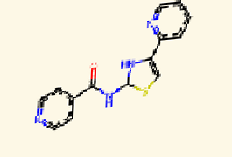 O=C(NC1NC(c2ccccn2)=CS1)c1ccncc1